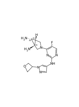 N[C@@H]1[C@@H]2CN(c3nc(Nc4cnn(C5COC5)c4)ncc3F)C[C@]12N